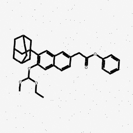 CCOC(OC)Oc1cc2ccc(CC(=O)Oc3ccccc3)cc2cc1C12CC3CC(CC(C3)C1)C2